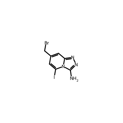 Nc1nnc2cc(CBr)cc(I)n12